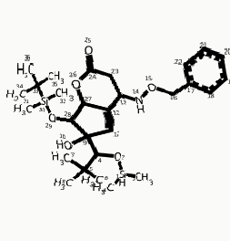 C[SiH](C)OC(C(C)(C)C)C1(O)C=C2C(NOCc3ccccc3)CC(=O)OC2C1O[Si](C)(C)C(C)(C)C